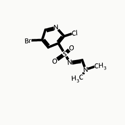 CN(C)C=NS(=O)(=O)c1cc(Br)cnc1Cl